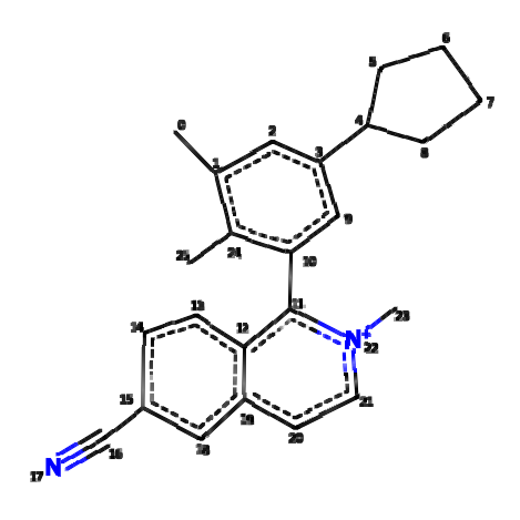 Cc1cc(C2CCCC2)cc(-c2c3ccc(C#N)cc3cc[n+]2C)c1C